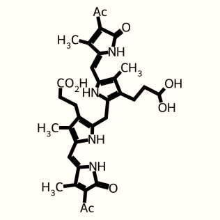 CC(=O)C1=C(C)/C(=C/c2[nH]c(Cc3[nH]c(/C=C4\NC(=O)C(C(C)=O)=C4C)c(C)c3CCC(O)O)c(CCC(=O)O)c2C)NC1=O